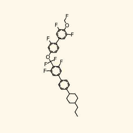 CCCC1CCC(c2ccc(-c3cc(F)c(C(F)(F)Oc4ccc(-c5cc(F)c(OCF)c(F)c5)c(F)c4)c(F)c3)cc2)CC1